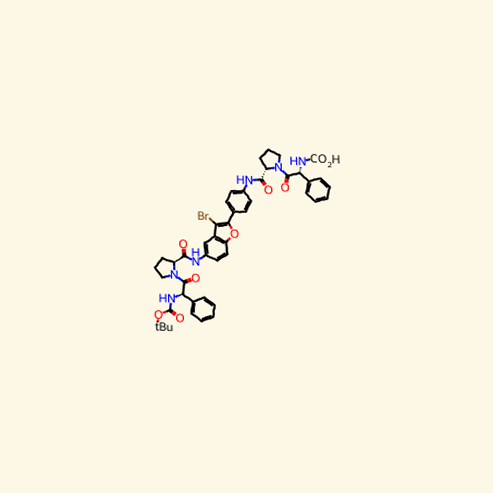 CC(C)(C)OC(=O)N[C@@H](C(=O)N1CCC[C@H]1C(=O)Nc1ccc2oc(-c3ccc(NC(=O)[C@@H]4CCCN4C(=O)[C@H](NC(=O)O)c4ccccc4)cc3)c(Br)c2c1)c1ccccc1